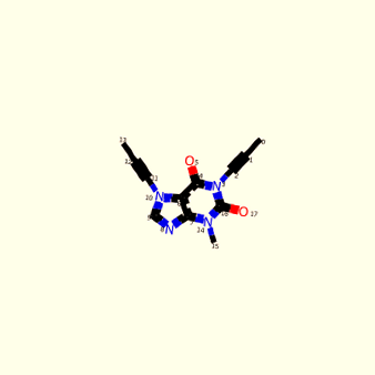 CC#Cn1c(=O)c2c(ncn2C#CC)n(C)c1=O